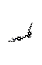 CCOCCCOc1ccc2[nH]cc(CCNCc3ccc(/C=C/C(=O)NO)cc3)c2c1